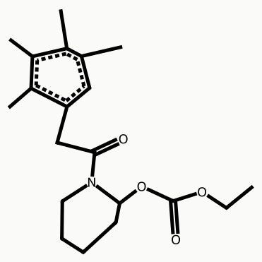 CCOC(=O)OC1CCCCN1C(=O)Cc1cc(C)c(C)c(C)c1C